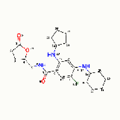 O=C1CC[C@@H](CNC(=O)c2cc(F)c(NC3CCCCC3)cc2NC2CCCC2)O1